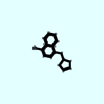 Oc1ccc(CC2CC=CC2)c2ccccc12